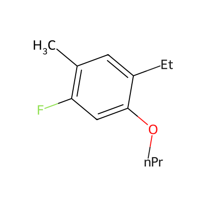 CCCOc1cc(F)c(C)cc1CC